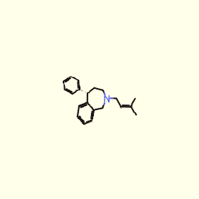 CC(C)=CCN1CC[C@@H](c2ccccc2)c2ccccc2C1